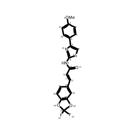 COc1ccc(-c2csc(NC(=O)/C=C/c3ccc4c(c3)OC(F)(F)O4)n2)cc1